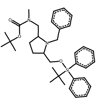 CN(CC1CCC(CO[Si](c2ccccc2)(c2ccccc2)C(C)(C)C)N1Cc1ccccc1)C(=O)OC(C)(C)C